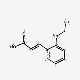 CCNc1cccnc1C=CC(=O)O